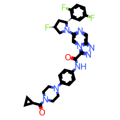 O=C(Nc1ccc(N2CCN(C(=O)C3CC3)CC2)cc1)c1nnc2cnc(N3C[C@@H](F)C[C@@H]3c3cc(F)ccc3F)cn12